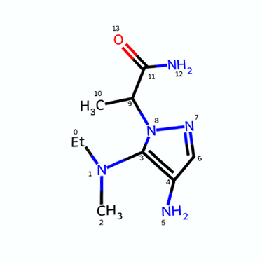 CCN(C)c1c(N)cnn1C(C)C(N)=O